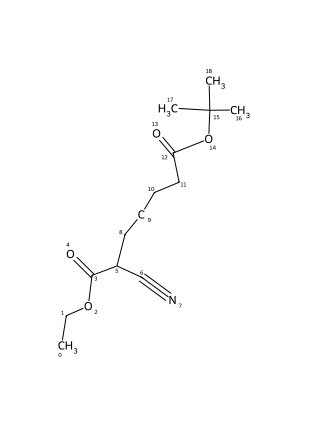 CCOC(=O)C(C#N)CCCCC(=O)OC(C)(C)C